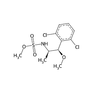 CO[C@H](c1c(Cl)cccc1Cl)[C@@H](C)NS(=O)(=O)OC